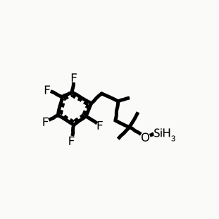 CC(Cc1c(F)c(F)c(F)c(F)c1F)CC(C)(C)O[SiH3]